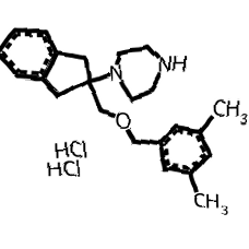 Cc1cc(C)cc(COCC2(N3CCNCC3)Cc3ccccc3C2)c1.Cl.Cl